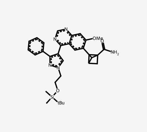 COc1cc2ncnc(-c3cn(CCO[Si](C)(C)C(C)(C)C)nc3-c3ccccc3)c2cc1C1C2CC1(C(N)=O)C2